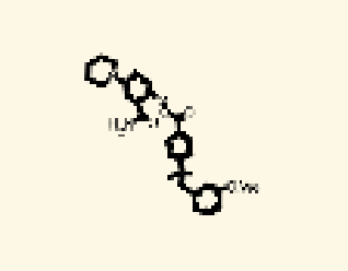 COc1cccc(CC(C)(C)c2ccc(C(=O)OOc3ccc(N4CCCCC4)cc3C(N)=O)cc2)c1